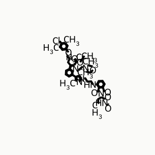 CCCC(C(=O)NC=O)N1C(=O)c2cccc(NCCCn3nc(C)c(-c4cccc5c(CCCOc6cc(C)c(Cl)c(C)c6)c(C(=O)OC(C)(C)C)n(CCN6CCOCC6)c45)c3C)c2C1=O